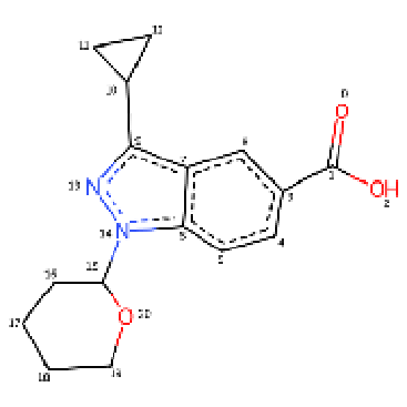 O=C(O)c1ccc2c(c1)c(C1CC1)nn2C1CCCCO1